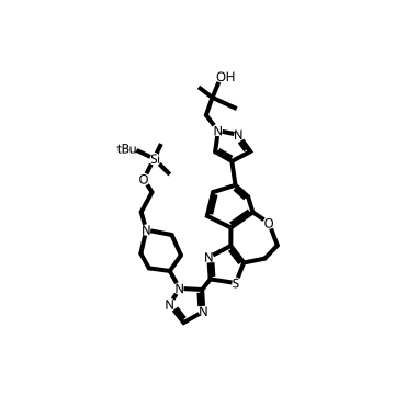 CC(C)(O)Cn1cc(-c2ccc3c(c2)OCCc2sc(-c4ncnn4C4CCN(CCO[Si](C)(C)C(C)(C)C)CC4)nc2-3)cn1